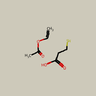 C=COC(C)=O.O=C(O)CCS